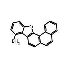 Bc1cccc2oc3c(ccc4ccc5ccccc5c43)c12